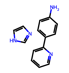 Nc1ccc(-c2ccccn2)cc1.c1c[nH]cn1